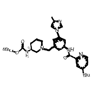 Cc1cn(-c2cc(CN3CCC[C@H](NC(=O)OC(C)(C)C)C3)cc(NC(=O)c3cc(C(C)(C)C)ccn3)c2)cn1